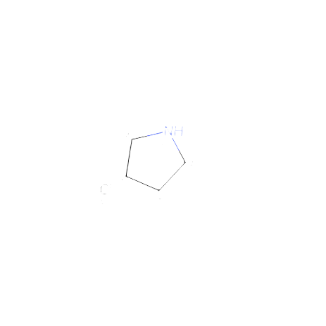 C1CCNC1.[C]